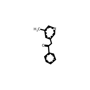 Cc1cncc(CC(=O)c2ccccc2)c1